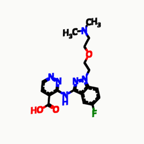 CN(C)CCOCCn1nc(Nc2nnccc2C(=O)O)c2cc(F)ccc21